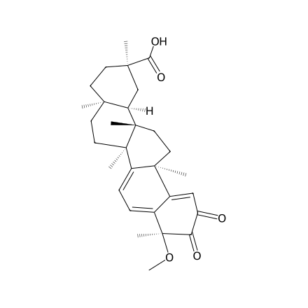 CO[C@]1(C)C(=O)C(=O)C=C2C1=CC=C1[C@@]2(C)CC[C@@]2(C)[C@@H]3C[C@](C)(C(=O)O)CC[C@]3(C)CC[C@]12C